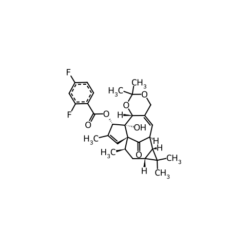 CC1=C[C@]23C(=O)[C@@H](C=C4COC(C)(C)O[C@H]4[C@]2(O)[C@H]1OC(=O)c1ccc(F)cc1F)[C@H]1[C@@H](C[C@H]3C)C1(C)C